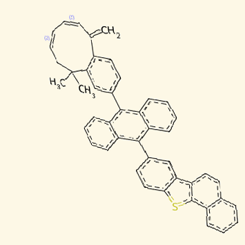 C=C1/C=C\C=C/CC(C)(C)c2cc(-c3c4ccccc4c(-c4ccc5sc6c7ccccc7ccc6c5c4)c4ccccc34)ccc21